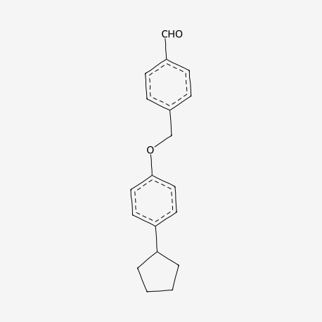 O=Cc1ccc(COc2ccc(C3CCCC3)cc2)cc1